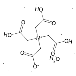 O.O=C([O-])C[N+](CC(=O)O)(CC(=O)O)CC(=O)O